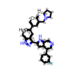 C=C/C(=C\C(=C/C)C(=C)/C=c1/c(-c2cc3c(-c4cccc(F)c4)cncc3[nH]2)n[nH]/c1=C/C)CN1CCCC1